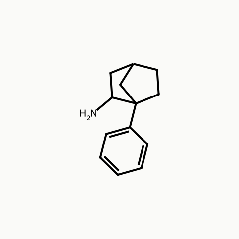 NC1CC2CCC1(c1ccccc1)C2